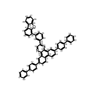 c1ccc(-c2ccc(-c3ccc4c5ccc(-c6ccc(-c7ccccc7)cc6)cc5c5nc(-c6cccc(-c7cccc8c7oc7ccccc78)c6)cnc5c4c3)cc2)cc1